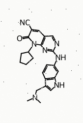 CN(C)Cc1c[nH]c2cc(Nc3ncc4cc(C#N)c(=O)n(C5CCCC5)c4n3)ccc12